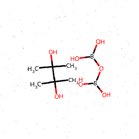 CC(C)(O)C(C)(C)O.OB(O)OB(O)O